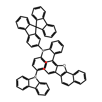 c1ccc(N(c2ccc(-n3c4ccccc4c4ccccc43)cc2)c2ccc3c(c2)C2(c4ccccc4-c4ccccc42)c2ccccc2-3)c(-c2cccc3c2oc2c4ccccc4ccc32)c1